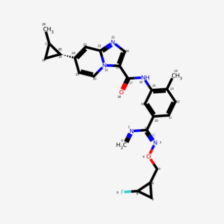 C=N/C(=N\OCC1CC1F)c1ccc(C)c(NC(=O)c2cnc3cc([C@@H]4CC4C)ccn23)c1